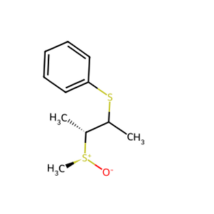 CC(Sc1ccccc1)[C@@H](C)[S@+](C)[O-]